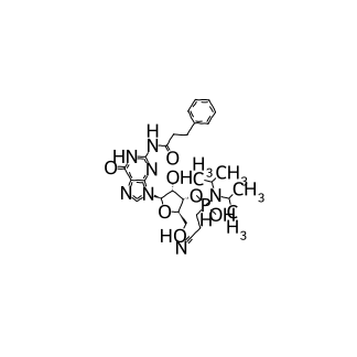 CC(C)N(C(C)C)[PH](O)(CCC#N)O[C@H]1[C@@H](O)[C@H](n2cnc3c(=O)[nH]c(NC(=O)CCc4ccccc4)nc32)O[C@@H]1CO